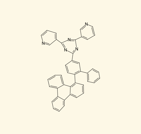 c1ccc(-c2cc(-c3nc(-c4cccnc4)nc(-c4cccnc4)n3)ccc2-c2cccc3c4ccccc4c4ccccc4c23)cc1